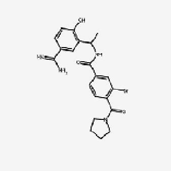 CC(NC(=O)c1ccc(C(=O)N2CCCC2)c(Br)c1)c1cc(C(=N)N)ccc1O